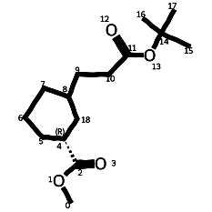 COC(=O)[C@@H]1CCCC(CCC(=O)OC(C)(C)C)C1